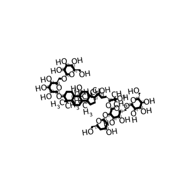 CC(C)(O)[C@@H](CC[C@](C)(O)[C@H]1CC[C@@]2(C)[C@@H]3CC=C4[C@@H](CC[C@H](O[C@@H]5O[C@H](CO[C@@H]6O[C@H](CO)[C@@H](O)[C@H](O)[C@H]6O)[C@@H](O)[C@H](O)[C@H]5O)C4(C)C)[C@]3(C)[C@H](O)C[C@]12C)O[C@@H]1O[C@H](CO[C@@H]2O[C@H](CO)[C@@H](O)[C@H](O)[C@H]2O)[C@@H](O)[C@H](O)[C@H]1O[C@H]1C[C@@H](O)C[C@@H](CO)O1